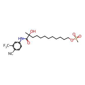 CC(O)(CCCCCCCCCCOS(C)(=O)=O)C(=O)Nc1ccc(C#N)c(C(F)(F)F)c1